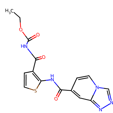 CCOC(=O)NC(=O)c1ccsc1NC(=O)c1ccn2cnnc2c1